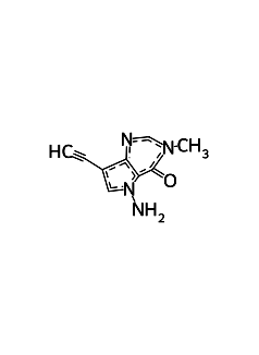 C#Cc1cn(N)c2c(=O)n(C)cnc12